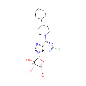 OC[C@H]1O[C@@H](n2cnc3c(N4CCC(C5CCCCC5)CC4)nc(Cl)nc32)C(O)[C@H]1O